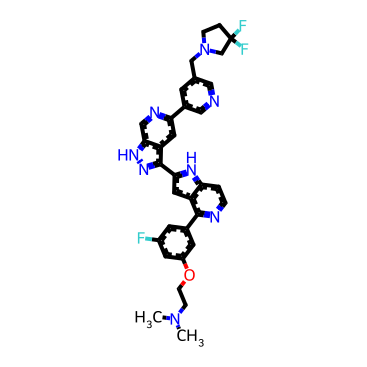 CN(C)CCOc1cc(F)cc(-c2nccc3[nH]c(-c4n[nH]c5cnc(-c6cncc(CN7CCC(F)(F)C7)c6)cc45)cc23)c1